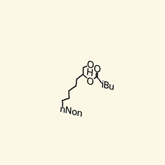 CCCCCCCCCCCCCCC(CO)OC(=O)C(C)CC